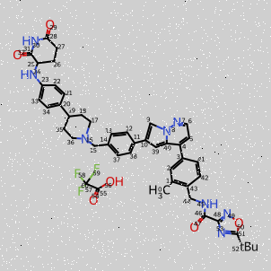 Cc1cc(-c2ccnn3cc(-c4ccc(CN5CCC(c6ccc(NC7CCC(=O)NC7=O)cc6)CC5)cc4)cc23)ccc1CNC(=O)c1noc(C(C)(C)C)n1.O=C(O)C(F)(F)F